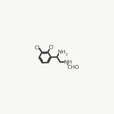 NC(CNC=O)c1cccc(Cl)c1Cl